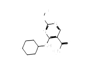 CCOc1ncc(C(N)=O)c(NC2CCCCC2)n1